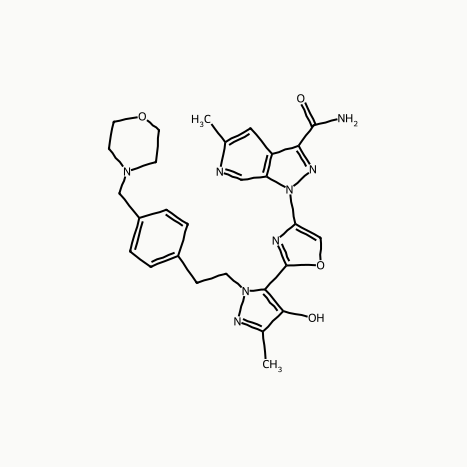 Cc1cc2c(C(N)=O)nn(-c3coc(-c4c(O)c(C)nn4CCc4ccc(CN5CCOCC5)cc4)n3)c2cn1